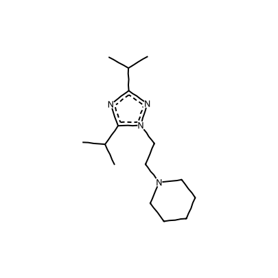 CC(C)c1nc(C(C)C)n(CCN2CCCCC2)n1